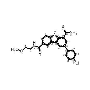 COCCNC(=O)c1ccc2[nH]c3c(C(N)=O)cc(-c4ccc(Cl)cc4)cc3c2c1